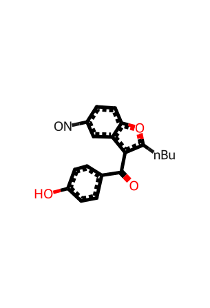 CCCCc1oc2ccc(N=O)cc2c1C(=O)c1ccc(O)cc1